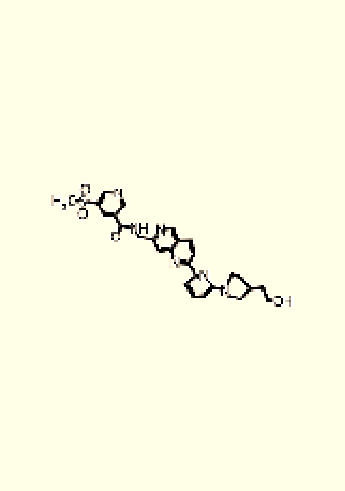 CS(=O)(=O)c1cncc(C(=O)NCc2cc3nc(-c4cccc(N5CCC(CCO)CC5)n4)ccc3cn2)c1